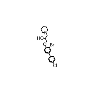 OC(COc1ccc(-c2ccc(Cl)cc2)cc1Br)CN1CCCCC1